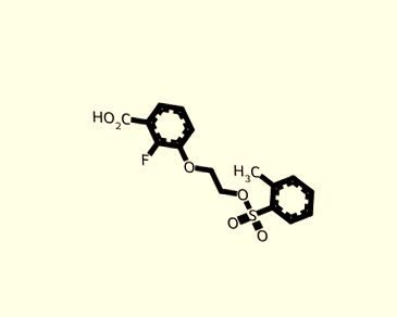 Cc1ccccc1S(=O)(=O)OCCOc1cccc(C(=O)O)c1F